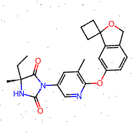 CC[C@@]1(C)NC(=O)N(c2cnc(Oc3ccc4c(c3)C3(CCC3)OC4)c(C)c2)C1=O